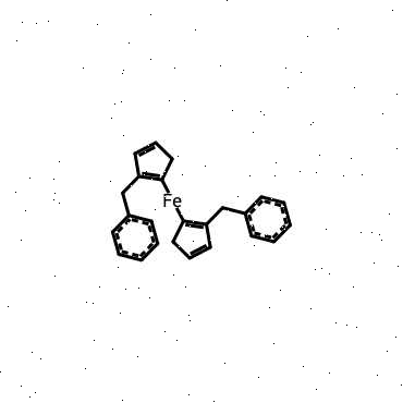 C1=CC(Cc2ccccc2)=[C]([Fe][C]2=C(Cc3ccccc3)C=CC2)C1